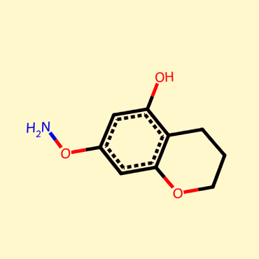 NOc1cc(O)c2c(c1)OCCC2